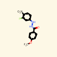 O=C(NNc1ccc([N+](=O)[O-])c(F)c1)c1ccc(OC(F)(F)F)cc1